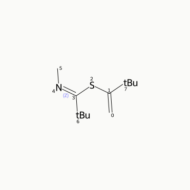 C=C(S/C(=N\C)C(C)(C)C)C(C)(C)C